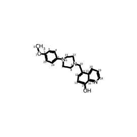 COc1ccc(N2CCN(Cc3ccc(O)c4ncccc34)CC2)cc1